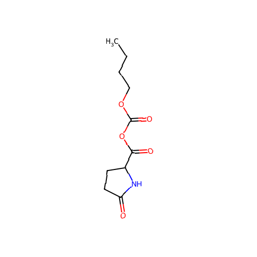 CCCCOC(=O)OC(=O)C1CCC(=O)N1